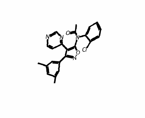 CC(=O)N(c1ccccc1Cl)c1onc(-c2cc(C)cc(C)c2)c1-c1ccncn1